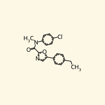 CCc1ccc(-c2cnc(C(=O)N(C)c3ccc(Cl)cc3)o2)cc1